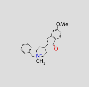 COc1ccc2c(c1)CC(C1CC[N+](C)(Cc3ccccc3)CC1)C2=O